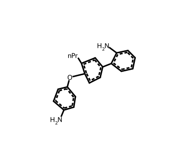 CCCc1cc(-c2ccccc2N)ccc1Oc1ccc(N)cc1